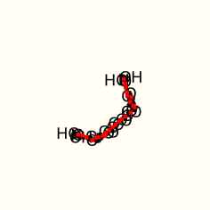 CC(C(=O)OCC(=O)OCC(=O)OCCOC(=O)COC(=O)COC(=O)C(C)c1ccc2cc(OC(=O)CCCCCON(O)O)ccc2c1)c1ccc2cc(OC(=O)CCCCCON(O)O)ccc2c1